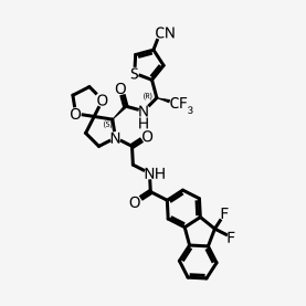 N#Cc1csc([C@H](NC(=O)[C@H]2N(C(=O)CNC(=O)c3ccc4c(c3)-c3ccccc3C4(F)F)CCC23OCCO3)C(F)(F)F)c1